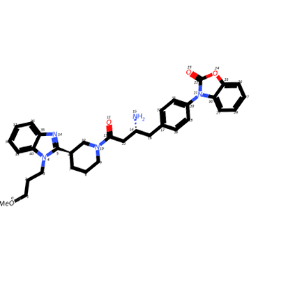 COCCCn1c([C@@H]2CCCN(C(=O)C[C@H](N)Cc3ccc(-n4c(=O)oc5ccccc54)cc3)C2)nc2ccccc21